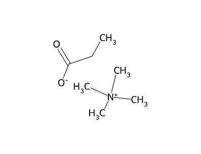 CCC(=O)[O-].C[N+](C)(C)C